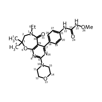 CCN1CC(C)(C)Oc2nc(N3CCOCC3)nc(-c3ccc(NC(=O)NOC)cc3)c2C1=O